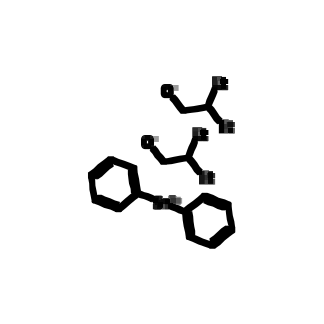 CCC(CC)C[O-].CCC(CC)C[O-].c1cc[c]([Sn+2][c]2ccccc2)cc1